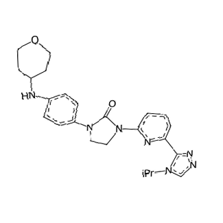 CC(C)n1cnnc1-c1cccc(N2CCN(c3ccc(NC4CCOCC4)cc3)C2=O)n1